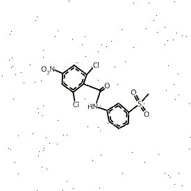 CS(=O)(=O)c1cccc(NC(=O)c2c(Cl)cc([N+](=O)[O-])cc2Cl)c1